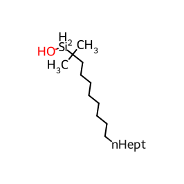 CCCCCCCCCCCCCCCC(C)(C)[SiH2]O